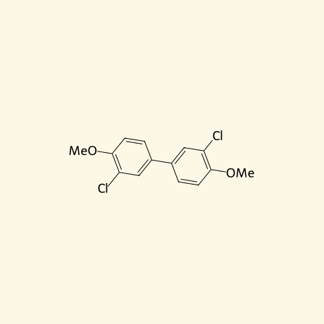 COc1ccc(-c2ccc(OC)c(Cl)c2)cc1Cl